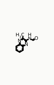 Cc1nc2ccccc2nc1NC=O